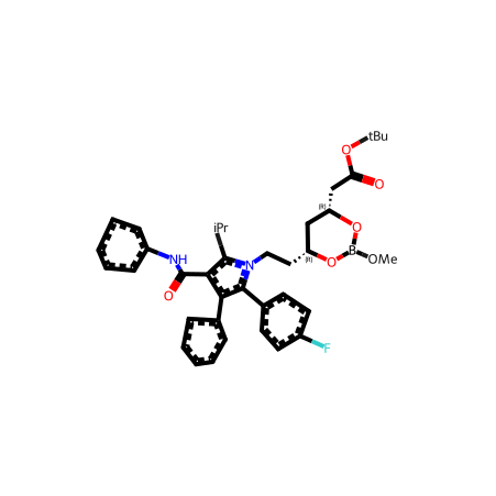 COB1O[C@H](CCn2c(-c3ccc(F)cc3)c(-c3ccccc3)c(C(=O)Nc3ccccc3)c2C(C)C)C[C@H](CC(=O)OC(C)(C)C)O1